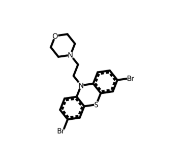 Brc1ccc2c(c1)Sc1cc(Br)ccc1N2CCN1CCOCC1